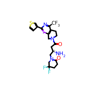 N[C@@H](CC(=O)N1CCC2=C(C1)I=C(c1ccsc1)N=C2C(F)(F)F)CN1CC(F)(F)CCC1=O